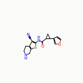 N#Cc1c(NC(=O)C2CC2c2ccoc2)sc2c1CCNC2